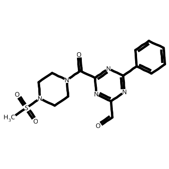 CS(=O)(=O)N1CCN(C(=O)c2nc(C=O)nc(-c3ccccc3)n2)CC1